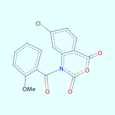 COc1ccccc1C(=O)n1c(=O)oc(=O)c2ccc(Cl)cc21